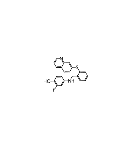 Oc1ccc(NCc2ccccc2Sc2ccc3cccnc3c2)cc1F